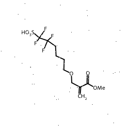 C=C(COCCCCC(F)(F)C(F)(F)S(=O)(=O)O)C(=O)OC